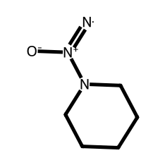 [N]=[N+]([O-])N1CCCCC1